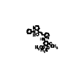 COc1cc(Nc2ncccc2C=CC(=O)c2cccnc2Nc2ccccc2)cc(OC)c1OC